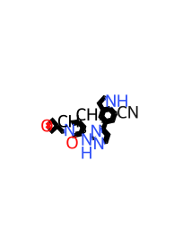 Cc1cc(Nc2nccc(-c3cc(C#N)c4c(c3)CCN4)n2)c(=O)n(CC2(C)COC2)c1